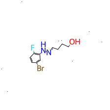 OCCCC=NNc1cc(Br)ccc1F